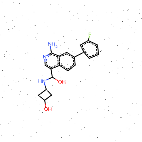 Nc1ncc(C(O)NC2CC(O)C2)c2ccc(-c3cccc(F)c3)cc12